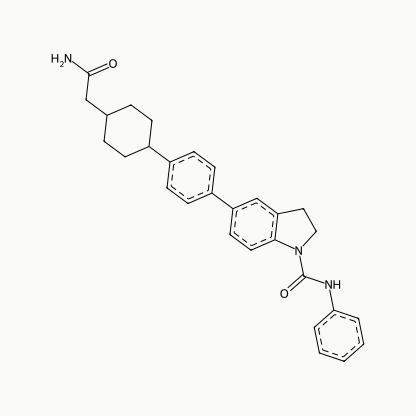 NC(=O)CC1CCC(c2ccc(-c3ccc4c(c3)CCN4C(=O)Nc3ccccc3)cc2)CC1